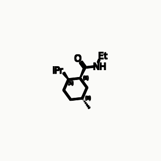 CCNC(=O)[C@H]1C[C@H](C)CC[C@H]1C(C)C